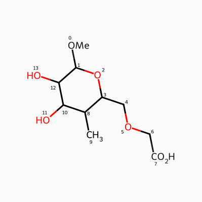 COC1OC(COCC(=O)O)C(C)C(O)C1O